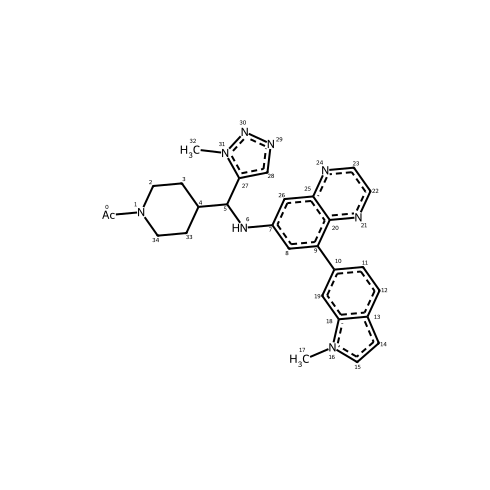 CC(=O)N1CCC(C(Nc2cc(-c3ccc4ccn(C)c4c3)c3nccnc3c2)c2cnnn2C)CC1